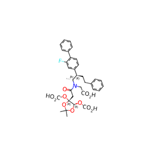 C[C@H]([C@H](CCc1ccccc1)c1ccc(-c2ccccc2)c(F)c1)N(CC(=O)O)C(=O)C[C@]1(OC(=O)O)OC(C)(C)O[C@@H]1OC(=O)O